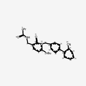 CCCCc1ccc(CNC(=O)CCC)c(=O)n1Cc1ccc(-c2ccccc2C#N)cc1